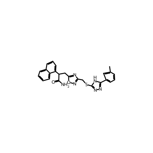 Cc1cccc(-c2nnc(SCc3noc(CC(C(N)=O)c4cccc5ccccc45)n3)[nH]2)c1